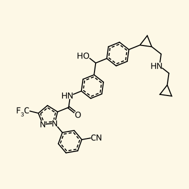 N#Cc1cccc(-n2nc(C(F)(F)F)cc2C(=O)Nc2cccc(C(O)c3ccc(C4CC4CNCC4CC4)cc3)c2)c1